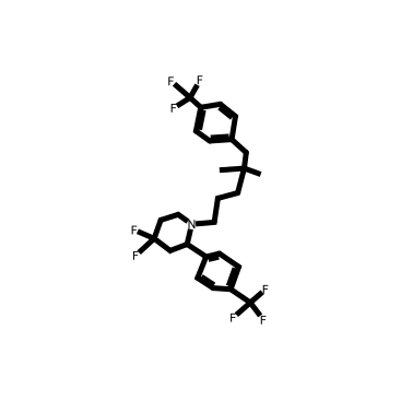 CC(C)(CCCN1CCC(F)(F)[CH]C1c1ccc(C(F)(F)F)cc1)Cc1ccc(C(F)(F)F)cc1